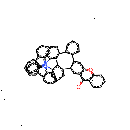 O=c1c2ccccc2oc2cc3c(cc12)-c1cccc(-n2c4ccccc4c4ccccc42)c1-c1c(cccc1-n1c2ccccc2c2ccccc21)-c1ccccc1-3